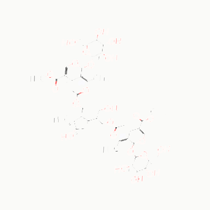 C/C=C1\[C@H](O[C@@H]2O[C@H](CO)[C@@H](O)[C@H](O)[C@H]2O)OC=C(C(=O)OC)[C@H]1CC(=O)OC[C@H](CO)[C@@H]1C[C@@H](O)[C@H](C)[C@H]1COC(=O)C[C@@H]1C(C(=O)OC)=CO[C@@H](O[C@@H]2O[C@H](CO)[C@@H](O)[C@H](O)[C@H]2O)/C1=C\C